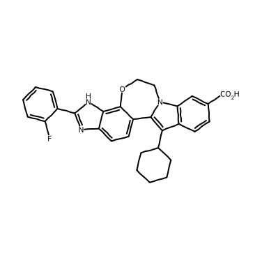 O=C(O)c1ccc2c(C3CCCCC3)c3n(c2c1)CCOc1c-3ccc2nc(-c3ccccc3F)[nH]c12